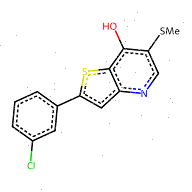 CSc1cnc2cc(-c3cccc(Cl)c3)sc2c1O